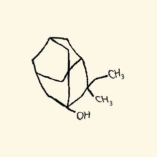 CC1(C)C2CC3CC(C2)CC1(O)C3